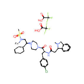 CCN(CC(C1CCCCC1)N1CCN(C(=O)C(Cc2ccc(Cl)cc2)NC(=O)CC2c3ccccc3CN2C)CC1)S(C)(=O)=O.O=C(O)C(F)(F)F.O=C(O)C(F)(F)F